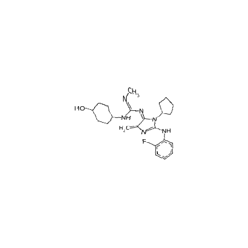 C=C1N=C(Nc2ccccc2F)N(C2CCCC2)/C1=N/C(=N\C)NC1CCC(O)CC1